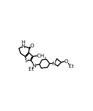 CCOC1CN(C2CCC(N(CC)c3sc4c(c3C)C(=O)NCC4)CC2)C1